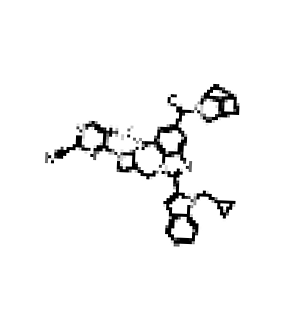 COc1cc(C(=O)N2CC3CC4CC2[C@H]43)cc2nc(-c3cc4ccccc4n3CC3CC3)n(CC3CN(c4ccnc(C#N)n4)C3)c12